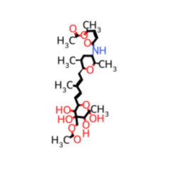 CC(=O)OCC1(O)C(O)C(/C=C/C(C)=C/C[C@@H]2O[C@H](C)[C@H](NC(=O)/C=C\[C@H](C)OC(C)=O)C[C@@H]2C)OC(C)(O)C1O